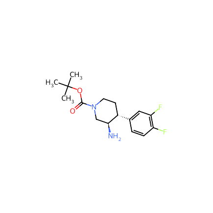 CC(C)(C)OC(=O)N1CC[C@H](c2ccc(F)c(F)c2)[C@@H](N)C1